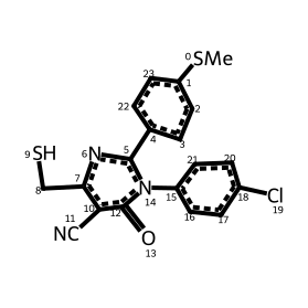 CSc1ccc(-c2nc(CS)c(C#N)c(=O)n2-c2ccc(Cl)cc2)cc1